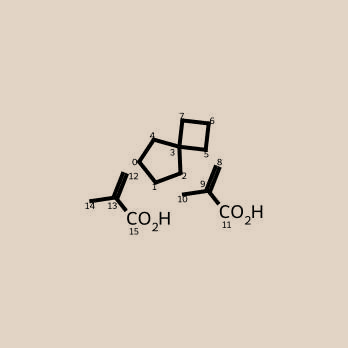 C1CCC2(C1)CCC2.C=C(C)C(=O)O.C=C(C)C(=O)O